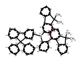 CC1(C)c2ccccc2-c2cc(N(c3ccc4c(c3)C(c3ccccc3)(c3ccccc3)c3ccccc3-4)c3ccccc3-c3cccc4c3-c3ccccc3C4(C)C)ccc21